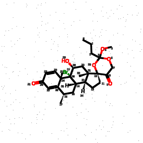 CCCC1(OC)OCC(=O)[C@]2(CC[C@H]3[C@@H]4C[C@H](C)C5=CC(=O)C=C[C@]5(C)[C@@]4(Br)[C@@H](O)C[C@@]32C)O1